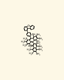 Bc1c(B)c(B)c2c(B)c(-c3c4c(B)c(B)c(B)c(B)c4c(-c4ccc(-c5cccc6oc7ccccc7c56)cc4)c4c(B)c(B)c(B)c(B)c34)c(B)c(B)c2c1B